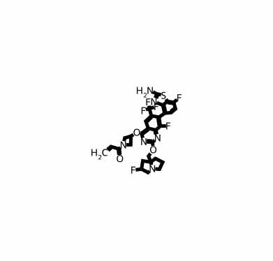 C=CC(=O)N1CC(Oc2nc(OCC34CCCN3CC(F)C4)nc3c(F)c(-c4ccc(F)c5sc(N)nc45)c(C(F)(F)F)cc23)C1